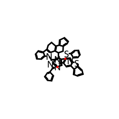 c1ccc(-c2nc(-c3ccc4sc5ccccc5c4c3)nc(-n3c4c(c5ccccc53)CCC3=C4C(c4ccccc4-c4nc5ccccc5s4)Cc4ccccc43)n2)cc1